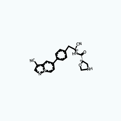 N#Cc1cnn2ccc(-c3ccc(C[C@@H](C#N)NC(=O)[C@@H]4CNCO4)cc3)cc12